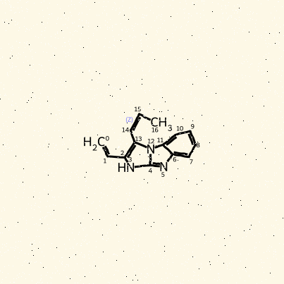 C=Cc1[nH]c2nc3ccccc3n2c1/C=C\C